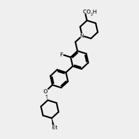 CC[C@H]1CC[C@H](Oc2ccc(-c3cccc(CN4CCCC(C(=O)O)C4)c3F)cc2)CC1